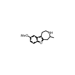 COc1ccc2oc3c(c2c1)CCNC(C)C3